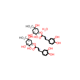 O.O=C(/C=C/c1ccc(O)c(O)c1)O[C@@H]1C[C@](O)(C(=O)O)C[C@@H](O)[C@H]1O.O=C(/C=C/c1ccc(O)c(O)c1)O[C@@H]1C[C@](O)(C(=O)O)C[C@@H](O)[C@H]1O